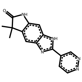 CC1(C)C(=O)Nc2cc3[nH]c(-c4ccnnc4)nc3cc21